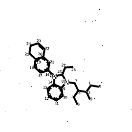 CCC(C)C(CC)CN1c2ccccc2N(c2ccc3c(c2)C=CCC3)C1CC